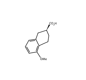 COc1cccc2c1CC[C@H](C(=O)O)C2